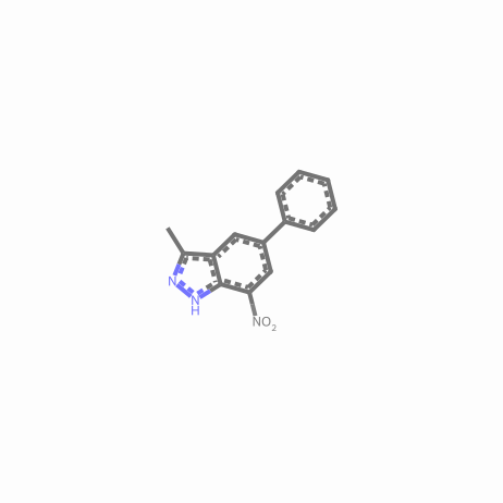 Cc1n[nH]c2c([N+](=O)[O-])cc(-c3ccccc3)cc12